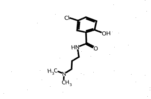 CN(C)CCCNC(=O)c1cc(Cl)ccc1O